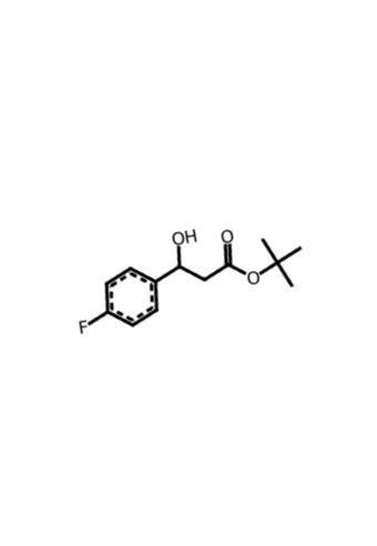 CC(C)(C)OC(=O)CC(O)c1ccc(F)cc1